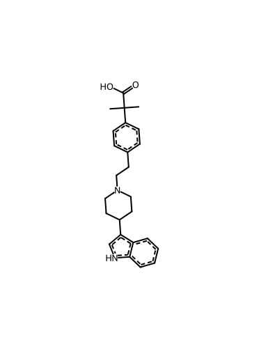 CC(C)(C(=O)O)c1ccc(CCN2CCC(c3c[nH]c4ccccc34)CC2)cc1